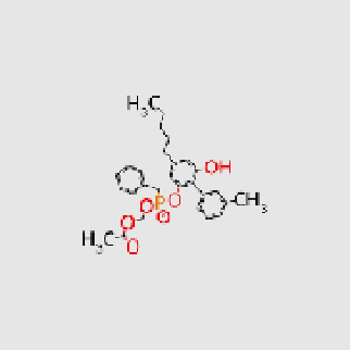 CCCCCc1cc(O)c(-c2cccc(C)c2)c(OP(=O)(Cc2ccccc2)OCOC(C)=O)c1